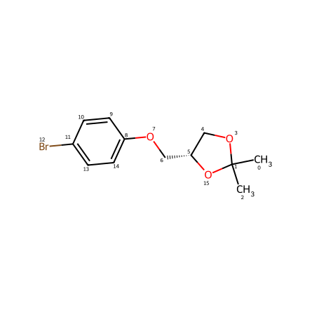 CC1(C)OC[C@@H](COc2ccc(Br)cc2)O1